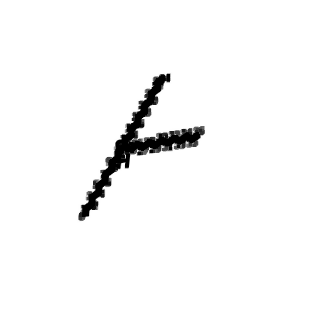 CCCCCCCCCCC[CH2][SnH]([CH2]CCCCCCCCCCC)[CH2]CCCCCCCCCCC